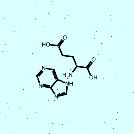 NC(CCC(=O)O)C(=O)O.c1ncc2[nH]cnc2n1